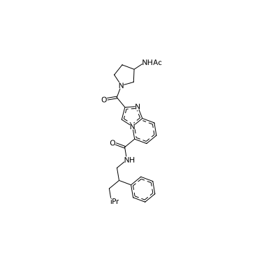 CC(=O)NC1CCN(C(=O)c2cn3c(C(=O)NCC(CC(C)C)c4ccccc4)cccc3n2)C1